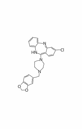 Clc1ccc2c(c1)=Nc1ccccc1NC=2N1CCN(Cc2ccc3c(c2)OCO3)CC1